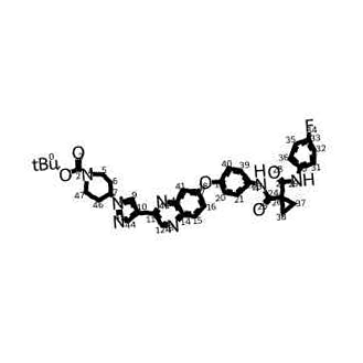 CC(C)(C)OC(=O)N1CCC(n2cc(-c3cnc4ccc(Oc5ccc(NC(=O)C6(C(=O)Nc7ccc(F)cc7)CC6)cc5)cc4n3)cn2)CC1